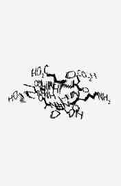 CC(C)[C@H](NC(=O)[C@H](C)NC(=O)[C@H](CO)NC(=O)[C@H](CCCCN)NC(=O)[C@H](CCC(=O)O)NC(=O)[C@@H](N)CCC(=O)O)C(=O)N[C@H](C(=O)O)[C@@H](C)O